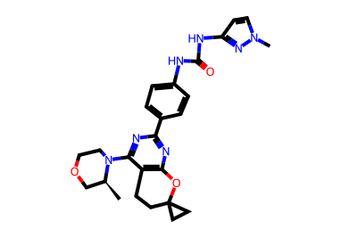 C[C@H]1COCCN1c1nc(-c2ccc(NC(=O)Nc3ccn(C)n3)cc2)nc2c1CCC1(CC1)O2